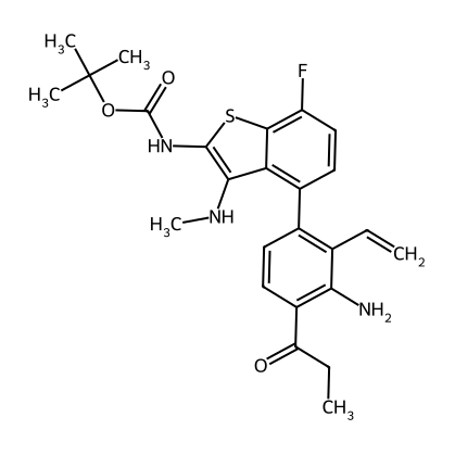 C=Cc1c(-c2ccc(F)c3sc(NC(=O)OC(C)(C)C)c(NC)c23)ccc(C(=O)CC)c1N